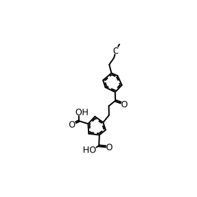 CCCCc1ccc(C(=O)CCc2cc(C(=O)O)cc(C(=O)O)c2)cc1